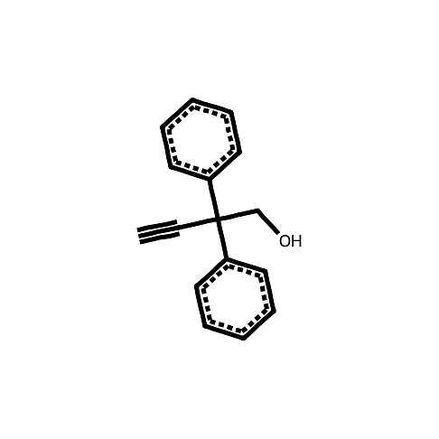 C#CC(CO)(c1ccccc1)c1ccccc1